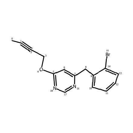 CC#CCOc1cc(Cc2ccccc2Br)ncn1